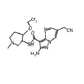 CN1CCC(OCC(F)(F)F)C(NC(=O)c2c(N)nn3cc(CC#N)cnc23)C1